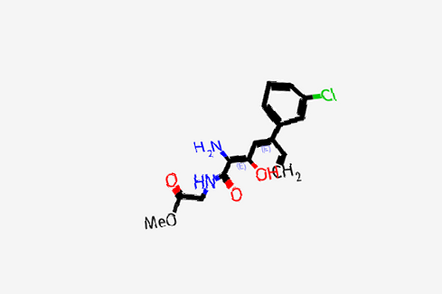 C=C/C(=C\C(O)=C(/N)C(=O)NCC(=O)OC)c1cccc(Cl)c1